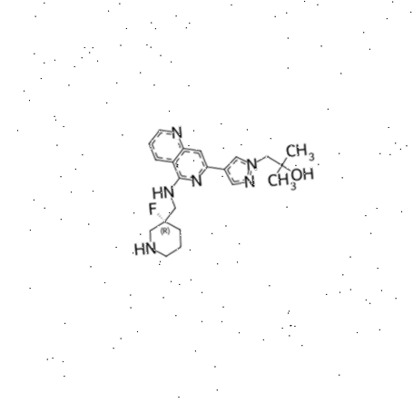 CC(C)(O)Cn1cc(-c2cc3ncccc3c(NC[C@@]3(F)CCCNC3)n2)cn1